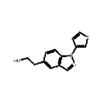 OCCc1ccc2c(cnn2-c2ccsc2)c1